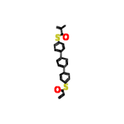 C=CC(=O)Sc1ccc(-c2ccc(-c3ccc(SC(=O)C(=C)C)cc3)cc2)cc1